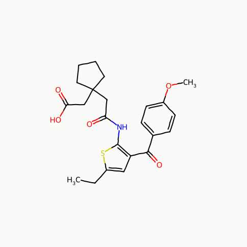 CCc1cc(C(=O)c2ccc(OC)cc2)c(NC(=O)CC2(CC(=O)O)CCCC2)s1